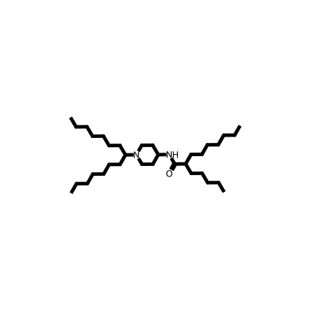 CCCCCCCC(CCCCC)C(=O)NC1CCN(C(CCCCCCC)CCCCCCC)CC1